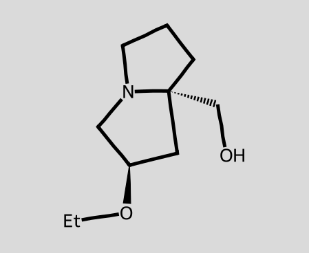 CCO[C@H]1CN2CCC[C@@]2(CO)C1